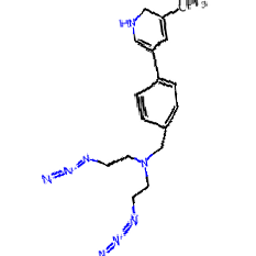 CC1=CC(c2ccc(CN(CCN=[N+]=[N-])CCN=[N+]=[N-])cc2)=CNC1